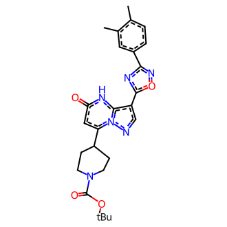 Cc1ccc(-c2noc(-c3cnn4c(C5CCN(C(=O)OC(C)(C)C)CC5)cc(=O)[nH]c34)n2)cc1C